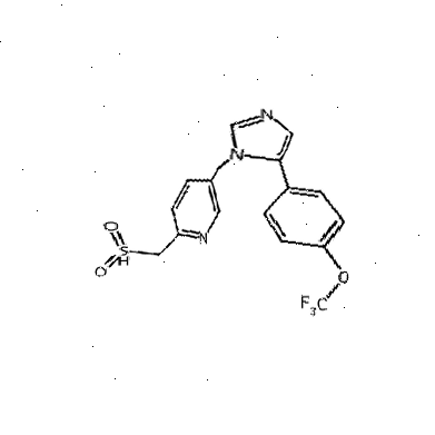 O=[SH](=O)Cc1ccc(-n2cncc2-c2ccc(OC(F)(F)F)cc2)cn1